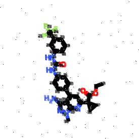 CCOC(=O)C1(c2cc(-c3ccc(NC(=O)Nc4cccc(C(F)(F)F)c4)cc3)c3c(N)nn(C)c3n2)CC1